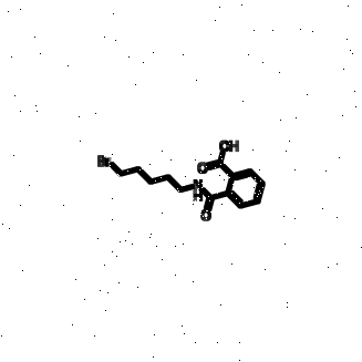 O=C(O)c1ccccc1C(=O)NCCCCCBr